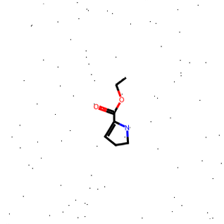 CCOC(=O)C1=CCC[N]1